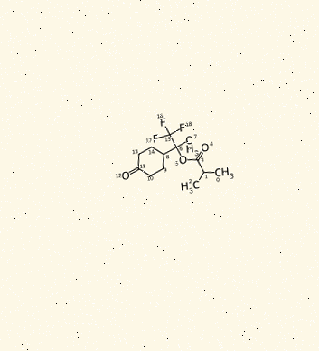 CC(C)C(=O)OC(C)(C1CCC(=O)CC1)C(F)(F)F